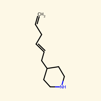 C=CCC=CCC1CCNCC1